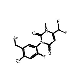 CC(=O)Cc1cc(-n2c(=O)cc(C(F)F)n(C)c2=O)c(F)cc1Cl